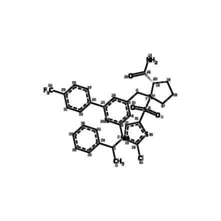 CC(Nc1cc(C[N+]2(S(=O)(=O)c3ccc(Cl)s3)CCC[C@H]2C(N)=O)cc(-c2ccc(C(F)(F)F)cc2)n1)c1ccccc1